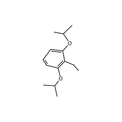 C[CH]c1c(OC(C)C)cccc1OC(C)C